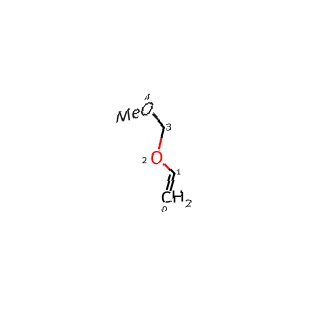 C=COCOC